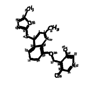 Cc1cc(Sc2nnc(C)o2)c2cccc(OCc3c(Cl)cncc3Cl)c2n1